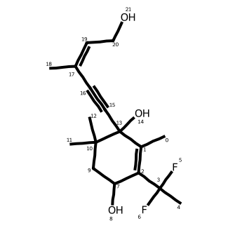 CC1=C(C(C)(F)F)C(O)CC(C)(C)C1(O)C#C/C(C)=C\CO